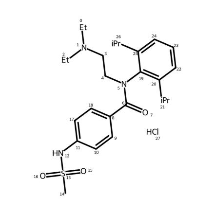 CCN(CC)CCN(C(=O)c1ccc(NS(C)(=O)=O)cc1)c1c(C(C)C)cccc1C(C)C.Cl